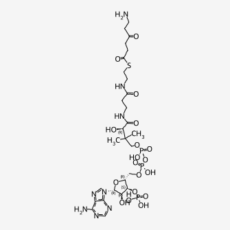 CC(C)(COP(=O)(O)OP(=O)(O)OC[C@H]1O[C@@H](n2cnc3c(N)ncnc32)[C@H](O)[C@@H]1OP(=O)(O)O)[C@@H](O)C(=O)NCCC(=O)NCCSC(=O)CCC(=O)CCN